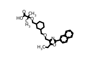 CCc1oc(-c2ccc3ccccc3c2)nc1COCC1CCCC(COC(C)(C)C(=O)O)C1